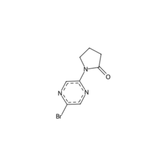 O=C1CCCN1c1cnc(Br)cn1